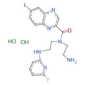 Cl.Cl.NCCN(CCNc1cccc(F)n1)C(=O)c1cnc2cc(I)ccc2n1